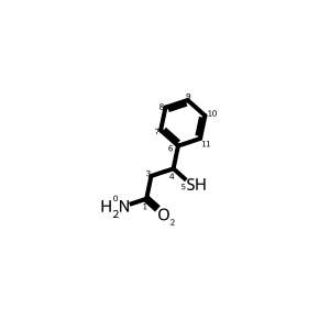 NC(=O)CC(S)c1ccccc1